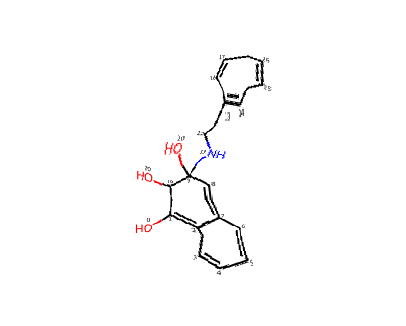 OC1=c2ccccc2=CC(O)(NCc2ccccc2)C1O